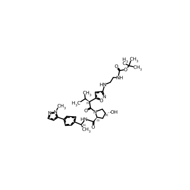 CC(C)[C@H](C(=O)N1C[C@H](O)C[C@H]1C(=O)N[C@@H](C)c1ccc(-c2ccnn2C)cc1)c1cc(NCCNC(=O)OC(C)(C)C)no1